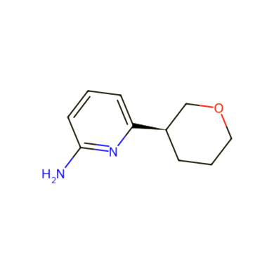 Nc1cccc([C@@H]2CCCOC2)n1